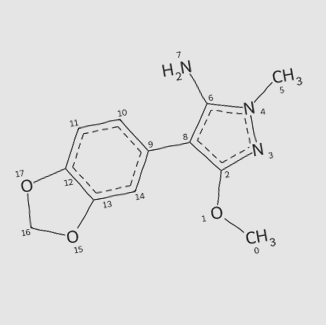 COc1nn(C)c(N)c1-c1ccc2c(c1)OCO2